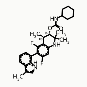 Cc1c[nH]c2c(-c3c(F)cc4c(c3F)[C@@H](C)[C@H](OC(=O)NC3CCCCC3)C(C)(C)N4)cccc12